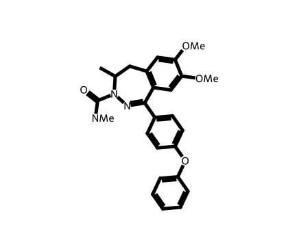 CNC(=O)N1N=C(c2ccc(Oc3ccccc3)cc2)c2cc(OC)c(OC)cc2CC1C